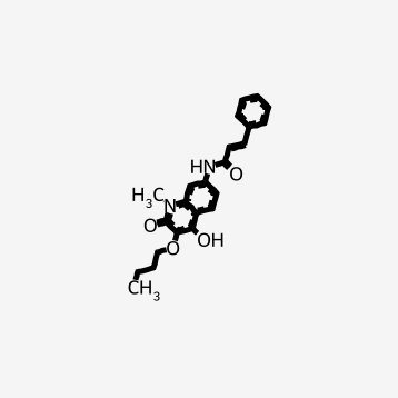 CCCCOc1c(O)c2ccc(NC(=O)/C=C/c3ccccc3)cc2n(C)c1=O